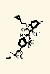 CCOC(=O)C=C(OCC)c1ccc2c(c1)S(=O)(=O)N=C(c1c(O)c3cc(F)ccc3n(CCC3CC3)c1=O)N2